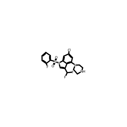 O=S(=O)(c1ccccc1F)n1cc(C(F)F)c2c(N3CCNCC3)cc(Cl)cc21